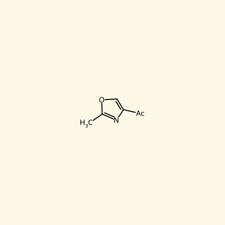 CC(=O)c1coc(C)n1